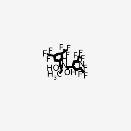 CCC(O)(NC(O)c1cc(C(F)(F)F)nc(C(F)(F)F)c1)c1cc(C(F)(F)F)cc(C(F)(F)F)c1